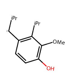 COc1c(O)ccc([C]C(C)C)c1C(C)C